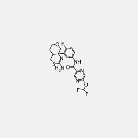 NC1=NC2(c3cc(NC(=O)c4cnc(OC(F)F)cn4)ccc3F)COCCC2CS1